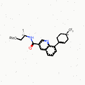 COC[C@H](C)NC(=O)c1cnc2c(C3=CC[C@H](C(F)(F)F)CC3)cccc2c1